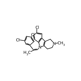 C/C(=C/n1c2c(c3cc(Cl)ccc31)CN(C)CC2)c1cc(Cl)cc(Cl)c1